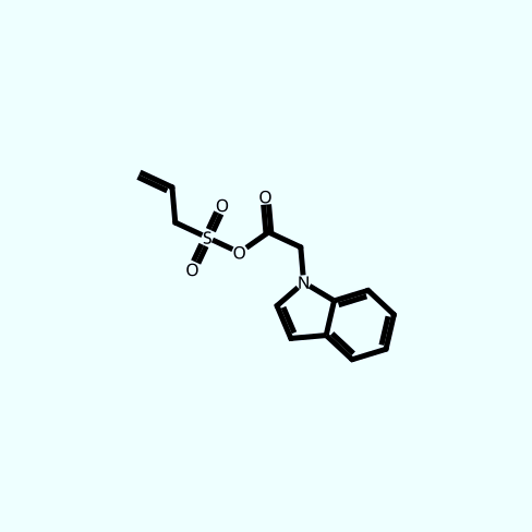 C=CCS(=O)(=O)OC(=O)Cn1ccc2ccccc21